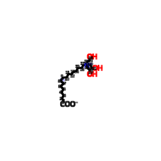 O=C([O-])CCCCCCC/C=C\CCCCCCCC[N+](CCO)(CCO)CCO